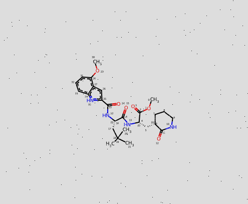 COC(=O)[C@H](C[C@@H]1CCCNC1=O)NC(=O)[C@H](CC(C)(C)C)NC(=O)c1cc2c(OC)cccc2[nH]1